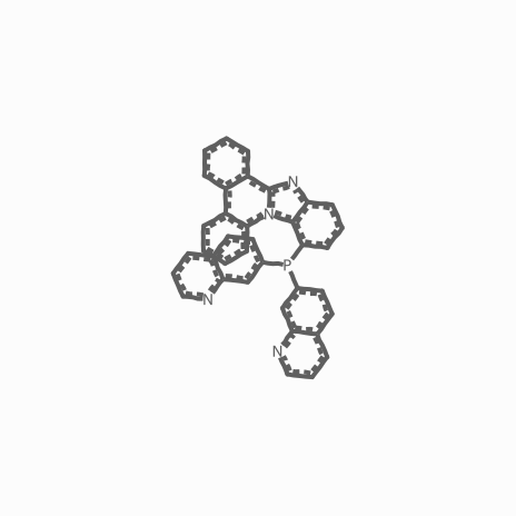 c1cnc2cc(P(c3ccc4cccnc4c3)c3cccc4nc5c6ccccc6c6ccccc6n5c34)ccc2c1